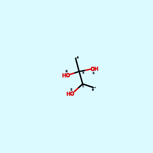 [CH2]C(O)C(C)(O)O